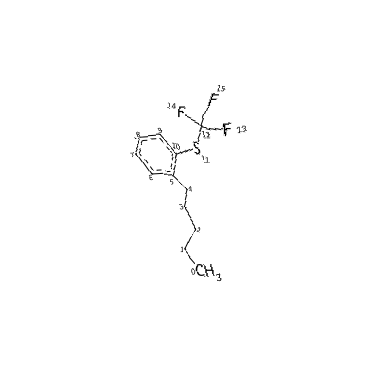 CCCCCc1cc[c]cc1SC(F)(F)F